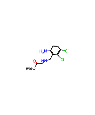 COC(=O)CNCc1c(N)ccc(Cl)c1Cl